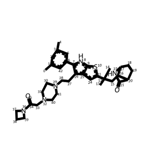 Cc1cc(C)cc(-c2[nH]c3sc(C(C)(C)CC4C5CCC4C(=O)N5)cc3c2CCN2CCN(CC(=O)N3CCC3)CC2)c1